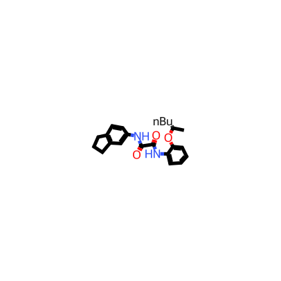 CCCCC(C)Oc1ccccc1NC(=O)C(=O)Nc1ccc2c(c1)CCC2